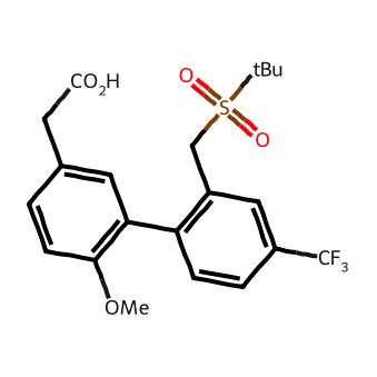 COc1ccc(CC(=O)O)cc1-c1ccc(C(F)(F)F)cc1CS(=O)(=O)C(C)(C)C